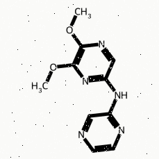 COc1ncc(Nc2cnccn2)nc1OC